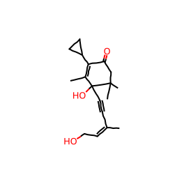 CC1=C(C2CC2)C(=O)CC(C)(C)C1(O)C#C/C(C)=C\CO